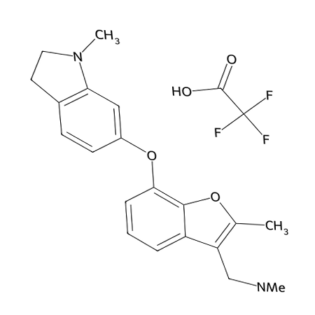 CNCc1c(C)oc2c(Oc3ccc4c(c3)N(C)CC4)cccc12.O=C(O)C(F)(F)F